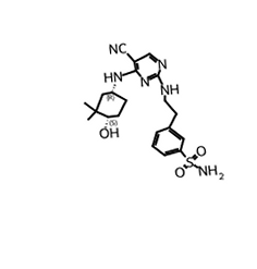 CC1(C)C[C@H](Nc2nc(NCCc3cccc(S(N)(=O)=O)c3)ncc2C#N)CC[C@@H]1O